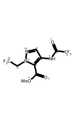 COC(=O)c1c(NC(=O)C(F)(F)F)cnn1CC(F)(F)F